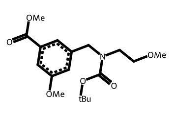 COCCN(Cc1cc(OC)cc(C(=O)OC)c1)C(=O)OC(C)(C)C